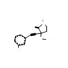 COC1(C#Cc2cccc(Br)c2)CCN(C)C1=O